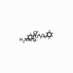 Nc1ccn(C(OCCOCc2ccccc2)C(F)(F)F)c(=O)n1